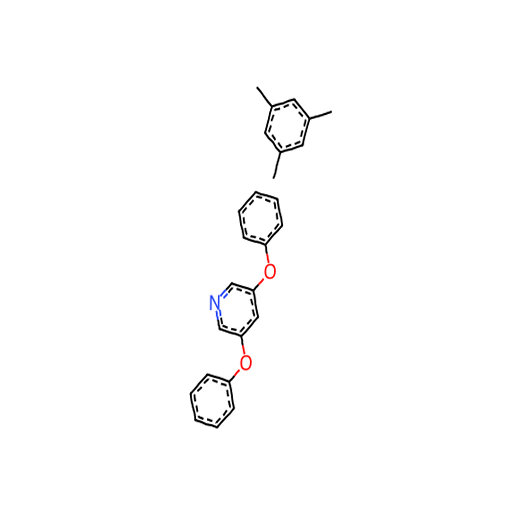 Cc1cc(C)cc(C)c1.c1ccc(Oc2cncc(Oc3ccccc3)c2)cc1